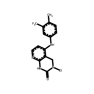 CCN1Cc2c(Nc3ccc(C)c(C(F)(F)F)c3)ccnc2NC1=O